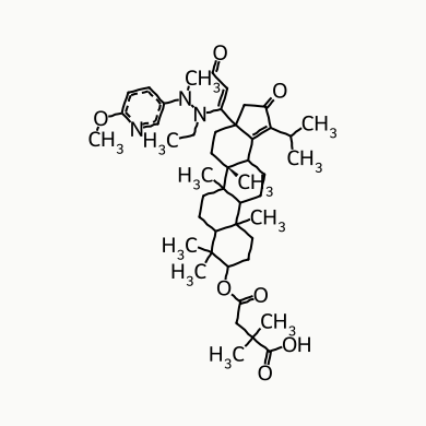 CCN(/C(=C\C=O)C12CC[C@]3(C)C(CCC4C5(C)CCC(OC(=O)CC(C)(C)C(=O)O)C(C)(C)C5CCC43C)C1=C(C(C)C)C(=O)C2)N(C)c1ccc(OC)nc1